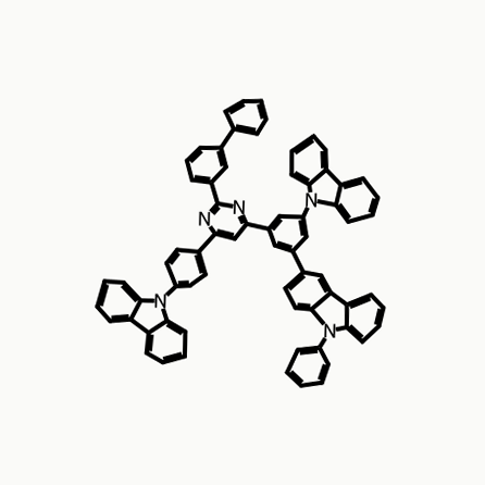 c1ccc(-c2cccc(-c3nc(-c4ccc(-n5c6ccccc6c6ccccc65)cc4)cc(-c4cc(-c5ccc6c(c5)c5ccccc5n6-c5ccccc5)cc(-n5c6ccccc6c6ccccc65)c4)n3)c2)cc1